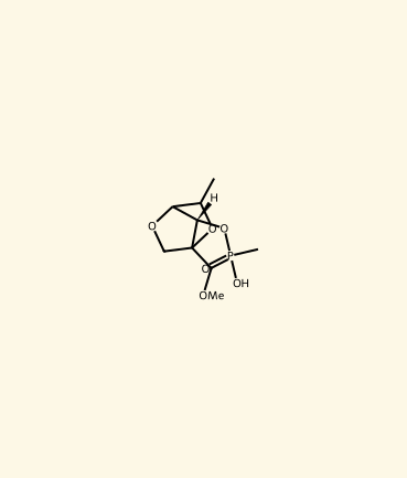 COCC12COC(C(C)O1)[C@@H]2OP(C)(=O)O